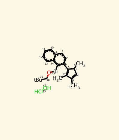 CC1=CC(C)C(c2ccc3ccccc3[c]2[Ti][O]CC(C)(C)C)=C1C.Cl.Cl